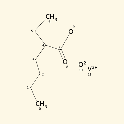 CCCCC(CC)C(=O)[O-].[O-2].[V+3]